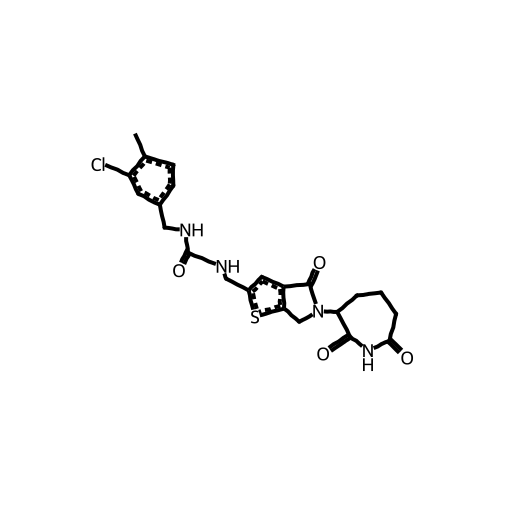 Cc1ccc(CNC(=O)NCc2cc3c(s2)CN(C2CCCC(=O)NC2=O)C3=O)cc1Cl